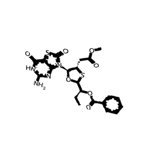 CC[C@H](OC(=O)c1ccccc1)C1O[C@@H](n2c(=O)sc3c(=O)[nH]c(N)nc32)[C@H](CC(=O)OC)S1